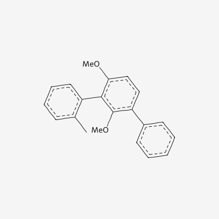 COc1ccc(-c2ccccc2)c(OC)c1-c1ccccc1C